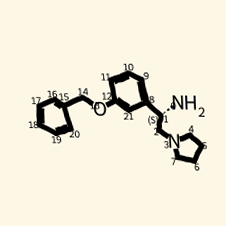 N[C@H](CN1CCCC1)c1cccc(OCc2ccccc2)c1